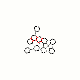 c1ccc(-c2cccc(N(c3cccc(-c4ccccc4)c3-c3ccccc3-c3ccccc3)c3cccc4c3-c3ccccc3C43c4ccccc4-c4ccccc43)c2)cc1